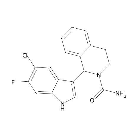 NC(=O)N1CCc2ccccc2C1c1c[nH]c2cc(F)c(Cl)cc12